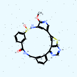 COc1ncc2cc1N[S+]([O-])c1cccc(c1)C(=O)NCc1cccc(c1)-c1ncnc3sc-2cc13